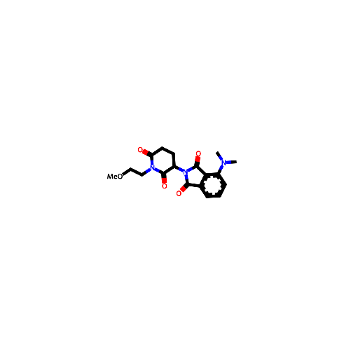 COCCN1C(=O)CCC(N2C(=O)c3cccc(N(C)C)c3C2=O)C1=O